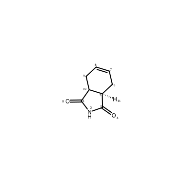 O=C1NC(=O)[C@@H]2CC=CCC12